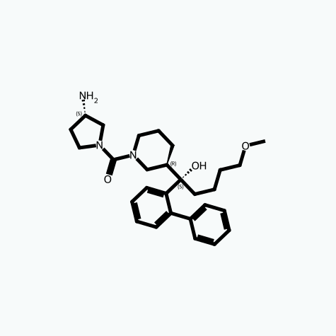 COCCCC[C@@](O)(c1ccccc1-c1ccccc1)[C@@H]1CCCN(C(=O)N2CC[C@H](N)C2)C1